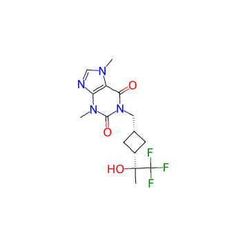 Cn1cnc2c1c(=O)n(C[C@H]1C[C@@H](C(C)(O)C(F)(F)F)C1)c(=O)n2C